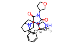 CC(C)N1C(=O)N(C2CCOC2)C(=O)C12CC1CCC(C2)N1C[C@H]1CNC[C@@H]1c1ccccc1